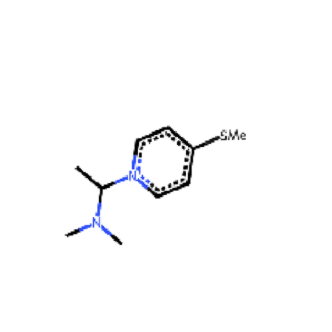 CSc1cc[n+](C(C)N(C)C)cc1